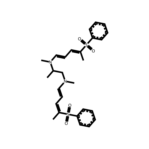 CC(=CC=CN(C)CC(C)N(C)C=CC=C(C)S(=O)(=O)c1ccccc1)S(=O)(=O)c1ccccc1